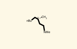 CCCCC[C@H](C)CCNC